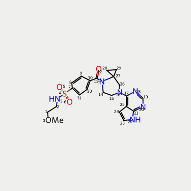 COCCNS(=O)(=O)c1ccc(C(=O)N2CCN(c3ncnc4[nH]ccc34)CC23CC3)cc1